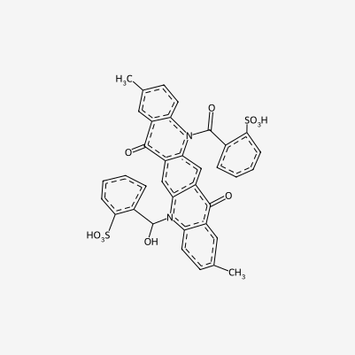 Cc1ccc2c(c1)c(=O)c1cc3c(cc1n2C(=O)c1ccccc1S(=O)(=O)O)c(=O)c1cc(C)ccc1n3C(O)c1ccccc1S(=O)(=O)O